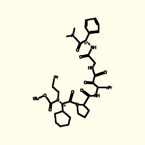 CCCC(NC(=O)C1CCCN1C(=O)[C@H](C1CCCCC1)N(CCC(C)C)C(=O)OC(C)(C)C)C(=O)C(=O)NCC(=O)N[C@H](C(=O)N(C)C)c1ccccc1